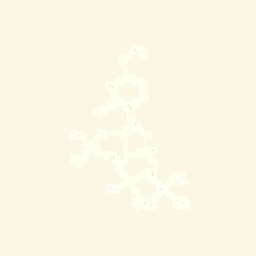 CC(C)(C)[Si](C)(C)OC[C@H]1O[C@@H](n2ccc(ON)nc2=O)C(O[Si](C)(C)C(C)(C)C)C1O[Si](C)(C)C(C)(C)C